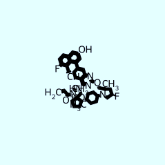 C#Cc1c(F)ccc2cc(O)cc(C3=Cc4nc(OC[C@]5(C)C[C@@H](F)CN5C5CCC(C)(O)CC5)nc(NCC5(N(C)C(=O)C=C)CCCC5)c4CC3)c12